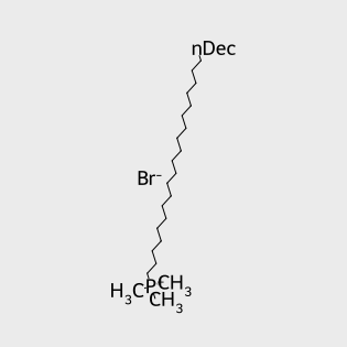 CCCCCCCCCCCCCCCCCCCCCCCCCCCCCC[P+](C)(C)C.[Br-]